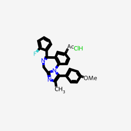 COc1ccc(-c2c(C)nc3n2-c2ccc(C(C)=O)cc2C(c2ccccc2F)=NC3)cc1.Cl